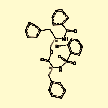 O=C(N[C@H](COC(=O)[C@@H](Cc1ccccc1)NS(=O)(=O)c1ccccc1Br)Cc1ccccc1)c1ccccc1